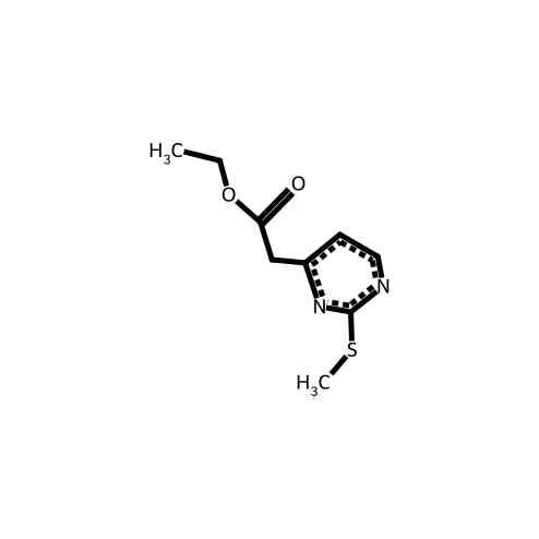 CCOC(=O)Cc1ccnc(SC)n1